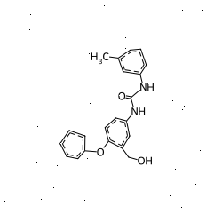 Cc1cccc(NC(=O)Nc2ccc(Oc3ccccc3)c(CO)c2)c1